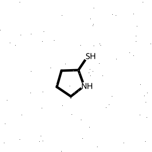 SC1CC[CH]N1